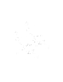 Cc1ncsc1-c1ccc([C@H](C)NC(=O)[C@@H]2C[C@@H](O)CN2C(=O)C(c2cc(CN(C)C(=O)OC(C)(C)C)no2)C(C)C)cc1.Cc1ncsc1-c1ccc([C@H](C)NC(=O)[C@@H]2C[C@@H](O)CN2C(=O)[C@@H](c2cc(CN(C)C(=O)OC(C)(C)C)no2)C(C)C)cc1